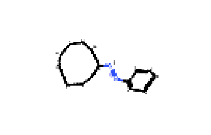 c1ccc(/N=N/C2CCCCCCCC2)cc1